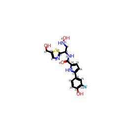 O=C(NC(CNO)c1ncc(CO)s1)c1ccc(-c2ccc(O)c(F)c2)[nH]1